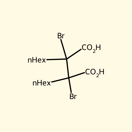 CCCCCCC(Br)(C(=O)O)C(Br)(CCCCCC)C(=O)O